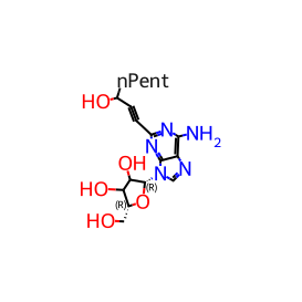 CCCCCC(O)C#Cc1nc(N)c2ncn([C@@H]3O[C@H](CO)C(O)C3O)c2n1